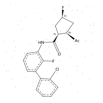 CC(=O)[C@@H]1C[C@H](F)C[C@@H]1C(=O)Nc1cccc(-c2ccccc2Cl)c1F